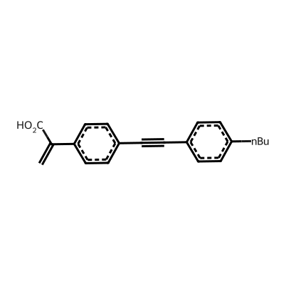 C=C(C(=O)O)c1ccc(C#Cc2ccc(CCCC)cc2)cc1